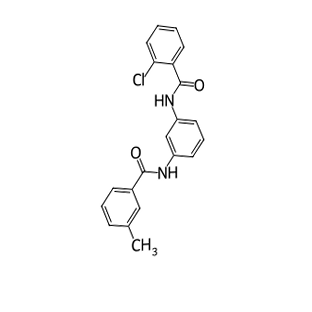 Cc1cccc(C(=O)Nc2cccc(NC(=O)c3ccccc3Cl)c2)c1